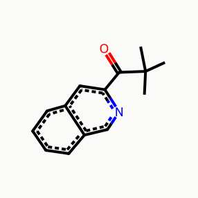 CC(C)(C)C(=O)c1cc2ccccc2cn1